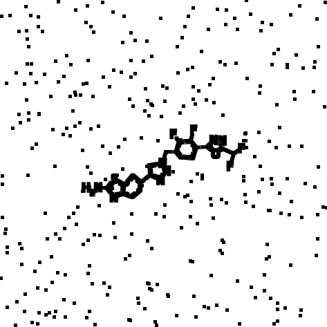 Nc1nc2ccc(-c3cn(Cc4ccc(-c5nnc(C(F)F)o5)c(F)c4F)nn3)cc2s1